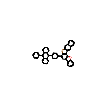 c1ccc(-c2c3ccccc3c(-c3ccc(-c4cc5c6ccccc6oc5c5c4sc4cc6ccccc6cc45)cc3)c3ccccc23)cc1